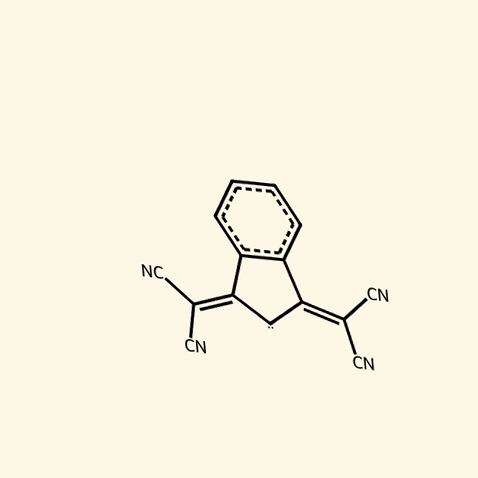 N#CC(C#N)=C1[C]C(=C(C#N)C#N)c2ccccc21